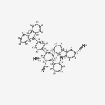 N#Cc1ccc2c(c1)c1ccccc1n2-c1ccccc1-c1ccc(-c2ccc(-n3c4ccccc4c4ccccc43)cc2)c(C#N)c1C#N